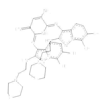 Cc1ccc2c(/N=C3\N/C(=N\c4c(NCCN5CCOCC5)nn5c(C)c(C)ccc45)C(N)=CC3=N)c(NCCN3CCOCC3)nn2c1C